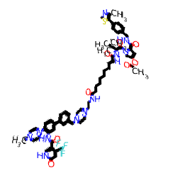 CC(=O)OC1CC(C(=O)NCc2ccc(-c3scnc3C)cc2)N(C(=O)C(NC(=O)CCCCCCCCCC(=O)NCCN2CCN(Cc3cccc(-c4ccc(N5CCN(C)CC5)c(NC(=O)c5c[nH]c(=O)cc5C(F)(F)F)c4)c3)CC2)C(C)(C)C)C1